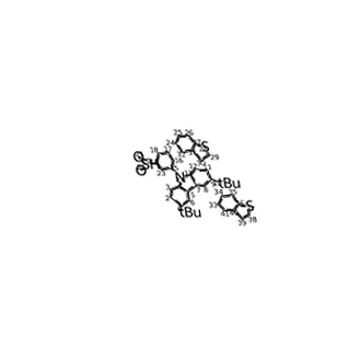 CC(C)(C)c1ccc2c(c1)c1cc(C(C)(C)C)ccc1n2-c1cccc([SH](=O)=O)c1.c1ccc2sccc2c1.c1ccc2sccc2c1